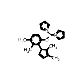 CC1=C(C)C(c2c(OP(n3cccc3)n3cccc3)ccc(C)c2C)C=C1